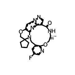 C[C@@H]1COc2ncc(F)cc2CN2c3nc4c(cnn4cc3OCC23CCCC3)C(=O)N1